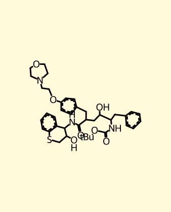 CC(C)(C)OC(=O)NC(Cc1ccccc1)C(O)CC(Cc1ccc(OCCN2CCOCC2)cc1)C(=O)NC1c2ccccc2SCC1O